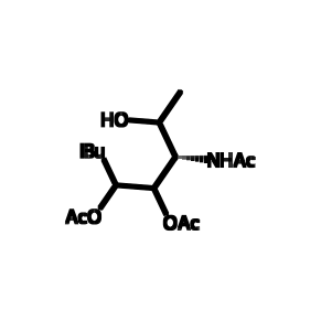 CCC(C)C(OC(C)=O)C(OC(C)=O)[C@@H](NC(C)=O)C(C)O